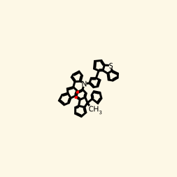 CC1(c2ccccc2)c2ccccc2-c2ccc(N(c3cccc(-c4cccc5sc6ccccc6c45)c3)c3ccccc3-c3ccc4ccccc4c3)cc21